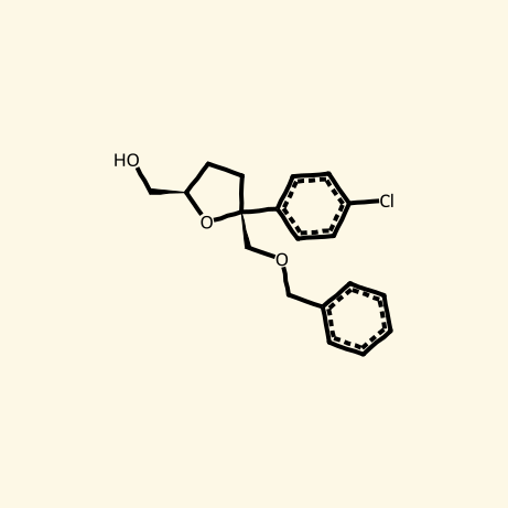 OC[C@H]1CC[C@](COCc2ccccc2)(c2ccc(Cl)cc2)O1